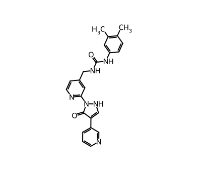 Cc1ccc(NC(=O)NCc2ccnc(-n3[nH]cc(-c4cccnc4)c3=O)c2)cc1C